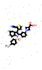 Cc1ccc([S+]([O-])n2c(-c3cccc(N4CC(C(=O)O)C4)c3)c(-c3ccsc3C#N)c3cc(F)ccc32)cc1